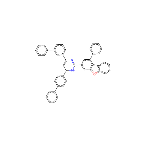 C1=C(c2cccc(-c3ccccc3)c2)N=C(c2cc(-c3ccccc3)c3c(c2)oc2ccccc23)NC1c1ccc(-c2ccccc2)cc1